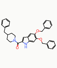 O=C(c1cc2cc(OCc3ccccc3)c(OCc3ccccc3)cc2[nH]1)N1CCC(Cc2ccccc2)CC1